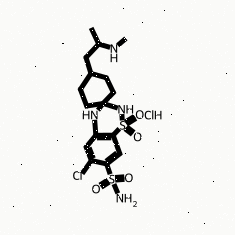 CNC(C)CC1CCC2(CC1)Nc1cc(Cl)c(S(N)(=O)=O)cc1S(=O)(=O)N2.Cl